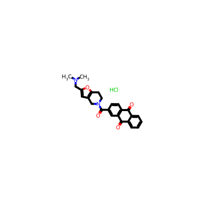 CN(C)Cc1cc2c(o1)CCN(C(=O)c1ccc3c(c1)C(=O)c1ccccc1C3=O)C2.Cl